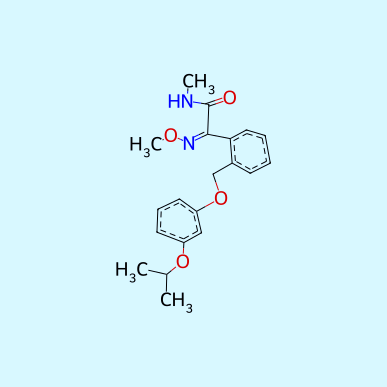 CNC(=O)C(=NOC)c1ccccc1COc1cccc(OC(C)C)c1